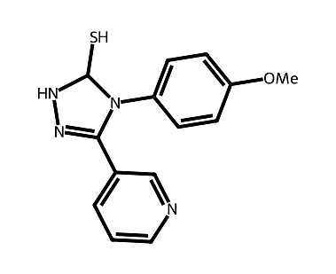 COc1ccc(N2C(c3cccnc3)=NNC2S)cc1